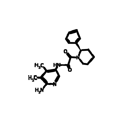 Cc1c(NC(=O)C(=O)N2CCCC[C@@H]2c2ccccc2)cnc(N)c1C